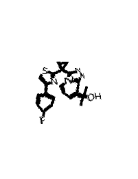 CC(C)(O)c1cccn2c(C3(c4nc(-c5ccc(F)cc5)cs4)CC3)nnc12